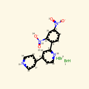 Br.Br.O=[N+]([O-])c1ccc(-c2cc(-c3ccncc3)ccn2)c([N+](=O)[O-])c1